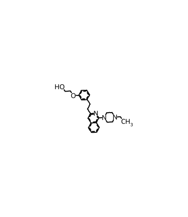 CCN1CCN(c2nc(CCc3cccc(OCCO)c3)cc3ccccc23)CC1